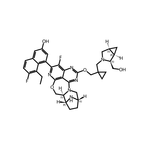 CCc1c(F)ccc2cc(O)cc(-c3nc4c5c(nc(OCC6(CN7C[C@H]8C[C@H]8[C@H]7CO)CC6)nc5c3F)N3C[C@@H]5CC[C@@H](N5)[C@H]3CO4)c12